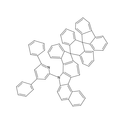 c1ccc(-c2cc(-c3ccccc3)nc(-n3c4ccc5ccccc5c4c4ccc5c(c43)-c3ccccc3C53c4ccccc4C4(c5ccccc5-c5ccccc54)c4ccccc43)c2)cc1